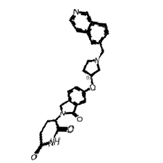 O=C1CCC(N2Cc3ccc(O[C@H]4CCN(Cc5ccc6cnccc6c5)C4)cc3C2=O)C(=O)N1